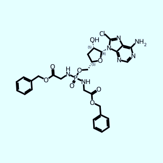 Nc1ncnc2c1nc(Cl)n2[C@@H]1O[C@H](COP(=O)(NCC(=O)OCc2ccccc2)NCC(=O)OCc2ccccc2)C[C@@H]1O